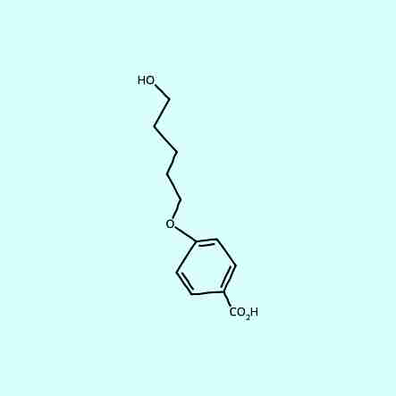 O=C(O)c1ccc(OCCCCCO)cc1